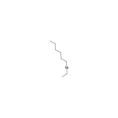 CCCCC[CH2][Ni][CH2]C